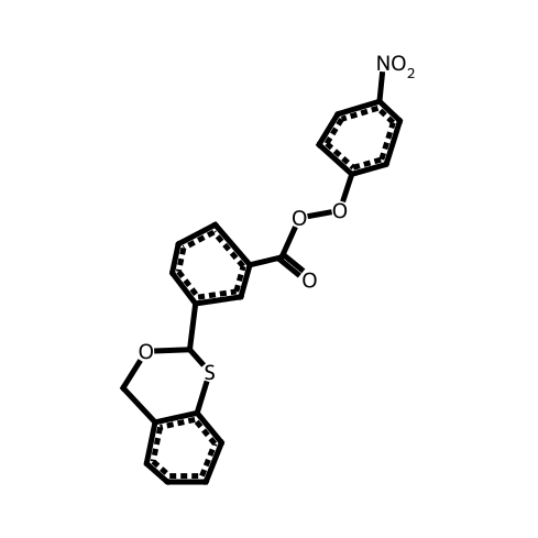 O=C(OOc1ccc([N+](=O)[O-])cc1)c1cccc(C2OCc3ccccc3S2)c1